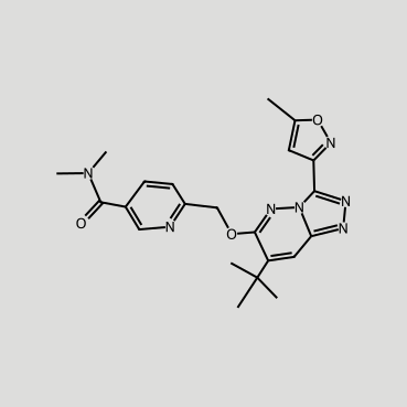 Cc1cc(-c2nnc3cc(C(C)(C)C)c(OCc4ccc(C(=O)N(C)C)cn4)nn23)no1